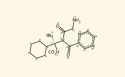 CC(C)(C)[C@](C(=O)O)(C1CCCCC1)N(C(=O)CN)C(=O)c1cnccn1